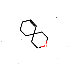 [CH]1COCCC12C=CCCC2